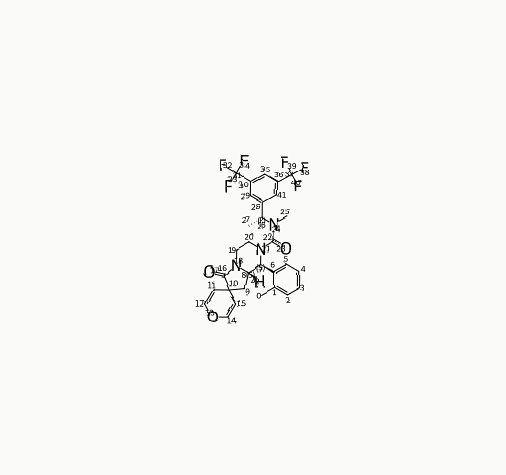 Cc1ccccc1[C@H]1[C@@H]2CC3(C=COC=C3)C(=O)N2CCN1C(=O)N(C)[C@H](C)c1cc(C(F)(F)F)cc(C(F)(F)F)c1